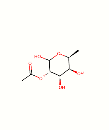 CC(=O)O[C@@H]1C(O)O[C@@H](C)[C@@H](O)[C@H]1O